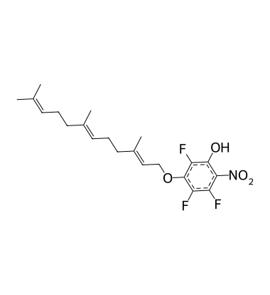 CC(C)=CCC/C(C)=C/CC/C(C)=C/COc1c(F)c(O)c([N+](=O)[O-])c(F)c1F